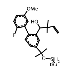 C=CC(C)(C)C(O)c1cc(C(C)(C)O[SiH2]C(C)(C)C)ccc1-c1cc(OC)ccc1F